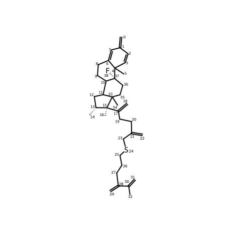 C=C1C=CC2(C)C(=C1)CCC1C3C[C@@H](C)[C@](C)(C(=C)CCC(=C)CSCCCC(=C)C(=C)C)C3(C)CC[C@@]12F